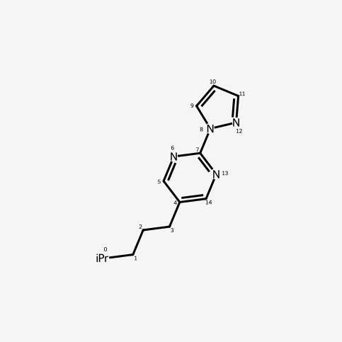 CC(C)CCCc1cnc(-n2cccn2)nc1